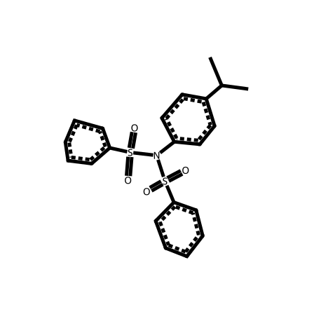 CC(C)c1ccc(N(S(=O)(=O)c2ccccc2)S(=O)(=O)c2ccccc2)cc1